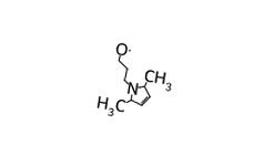 CC1C=CC(C)N1CCC[O]